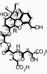 Cc1ccc(CO)c2c1[C@]13CCN(C)[C@H](C)[C@]1(O)CC=C(OC(=O)[C@H](C)OC(=O)[C@H](CCC(=O)O)NC(=O)C[C@H](O)C(=O)O)[C@@H]3O2